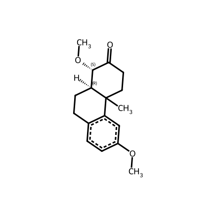 COc1ccc2c(c1)C1(C)CCC(=O)[C@@H](OC)[C@@H]1CC2